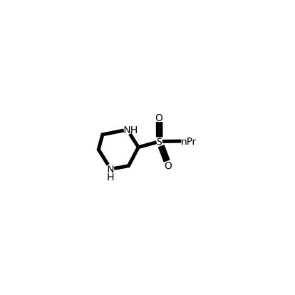 CCCS(=O)(=O)C1CNCCN1